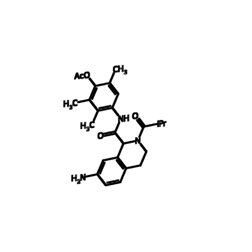 CC(=O)Oc1c(C)cc(NC(=O)C2c3cc(N)ccc3CCN2C(=O)C(C)C)c(C)c1C